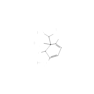 CC(O)C1(C(=O)O)C(Cl)=CC=C(C(=O)O)C1C